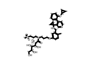 Cc1ccc(SCCCN(CCCS(C)(=O)=O)C(=O)[C@@H](O)[C@@H](O)[C@H](O)[C@@H](O)CO)cc1CNC1(c2cnccc2-c2ccccc2OC2CC2)CC1